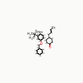 CCC=CC[C@H]1CCC(=O)C[C@@H]1c1ccc(C(C)(C)CCCCCC)cc1OCc1ccccc1